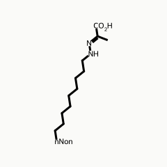 CCCCCCCCCCCCCCCCCCNN=C(C)C(=O)O